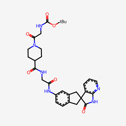 CC(C)(C)OC(=O)NCC(=O)N1CCC(C(=O)NCC(=O)Nc2ccc3c(c2)CC2(C3)C(=O)Nc3ncccc32)CC1